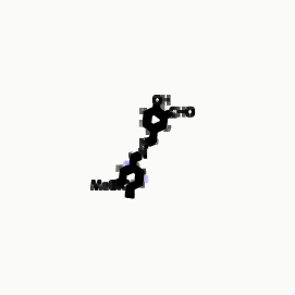 C=C(O)/C=C\C(C=NN=Cc1ccc(O)c(C=O)c1)=C/COC